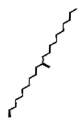 C=CCCCCCCCCC(=C)CCCCCCCCCC